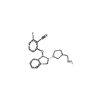 N#Cc1c(F)cccc1O[C@@H]1c2ccccc2C[C@H]1N1CCC(CN)C1